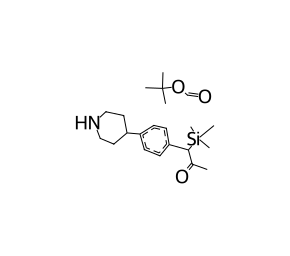 CC(=O)C(c1ccc(C2CCNCC2)cc1)[Si](C)(C)C.CC(C)(C)OC=O